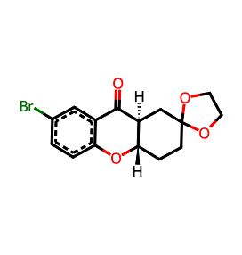 O=C1c2cc(Br)ccc2O[C@H]2CCC3(C[C@H]12)OCCO3